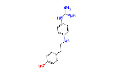 N=C(N)Nc1ccc(NCCc2ccc(O)cc2)cc1